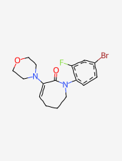 O=C1C(N2CCOCC2)=CCCCN1c1ccc(Br)cc1F